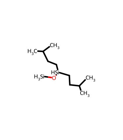 CC(C)CC[SiH](CCC(C)C)O[SiH3]